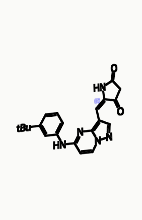 CC(C)(C)c1cccc(Nc2ccn3ncc(/C=C4/NC(=O)CC4=O)c3n2)c1